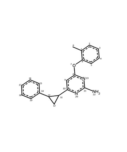 Cc1ccccc1Oc1cc(C2CC2c2ccccc2)nc(N)n1